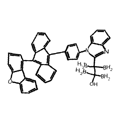 BC(B)(O)C(B)(B)c1nc2ccccc2n1-c1ccc(-c2c3ccccc3c(-c3cccc4oc5ccccc5c34)c3ccccc23)cc1